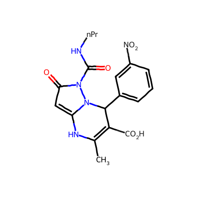 CCCNC(=O)n1c(=O)cc2n1C(c1cccc([N+](=O)[O-])c1)C(C(=O)O)=C(C)N2